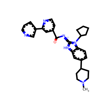 CN1CCC(c2ccc3c(c2)[nH]/c(=N\C(=O)c2ccnc(-c4cccnc4)c2)n3C2CCCC2)CC1